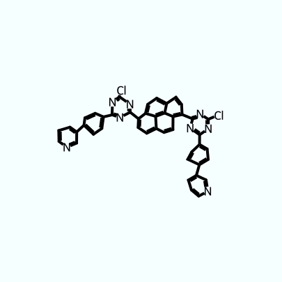 Clc1nc(-c2ccc(-c3cccnc3)cc2)nc(-c2ccc3ccc4c(-c5nc(Cl)nc(-c6ccc(-c7cccnc7)cc6)n5)ccc5ccc2c3c54)n1